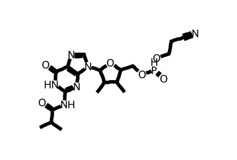 CC(C)C(=O)Nc1nc2c(ncn2C2OC(CO[PH](=O)OCCC#N)C(C)C2C)c(=O)[nH]1